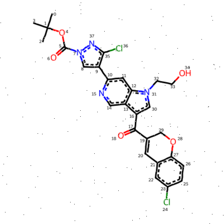 CC(C)(C)OC(=O)n1cc(-c2cc3c(cn2)c(C(=O)C2=Cc4cc(Cl)ccc4OC2)cn3CCO)c(Cl)n1